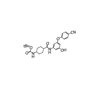 CC(C)(C)OC(=O)NC1CCC(C(=O)Nc2cc(O)cc(Oc3ccc(C#N)cc3)c2)CC1